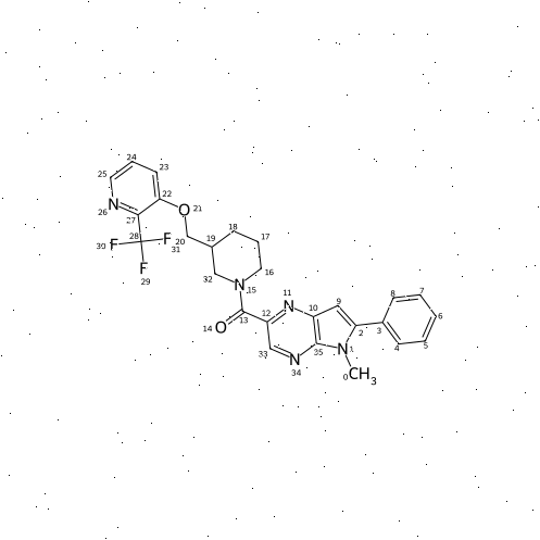 Cn1c(-c2ccccc2)cc2nc(C(=O)N3CCCC(COc4cccnc4C(F)(F)F)C3)cnc21